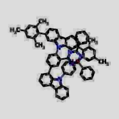 Cc1cc(C)c(-c2ccc3c4ccc(-c5c(C)cc(C)cc5C)cc4n(-c4ccc(-c5cccc6c7ccccc7n(-c7ccccc7)c56)cc4-c4nc(-c5ccccc5)nc(-c5ccccc5)n4)c3c2)c(C)c1